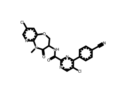 CN1C(=O)C(NC(=O)c2ncc(Cl)c(-c3ccc(C#N)cc3)n2)COc2cc(Cl)cnc21